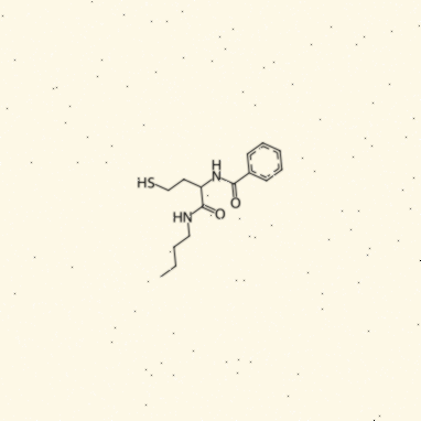 CCCCNC(=O)C(CCS)NC(=O)c1ccccc1